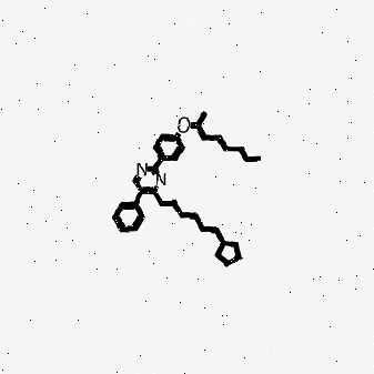 CCCCCCC(C)Oc1ccc(-c2ncc(-c3ccccc3)c(CCCCCCC3CCCC3)n2)cc1